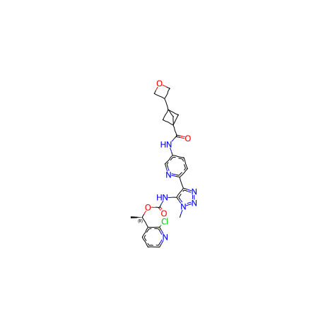 C[C@@H](OC(=O)Nc1c(-c2ccc(NC(=O)C34CC(C5COC5)(C3)C4)cn2)nnn1C)c1cccnc1Cl